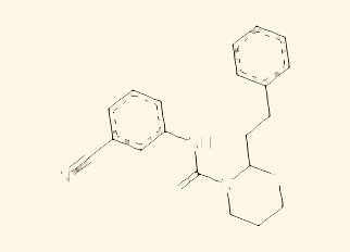 N#Cc1cccc(NC(=S)N2CCCSC2CCc2ccccc2)c1